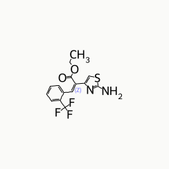 CCOC(=O)/C(=C\c1ccccc1C(F)(F)F)c1csc(N)n1